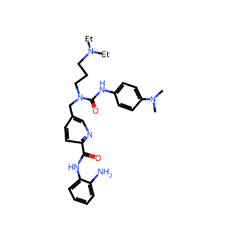 CCN(CC)CCCN(Cc1ccc(C(=O)Nc2ccccc2N)nc1)C(=O)Nc1ccc(N(C)C)cc1